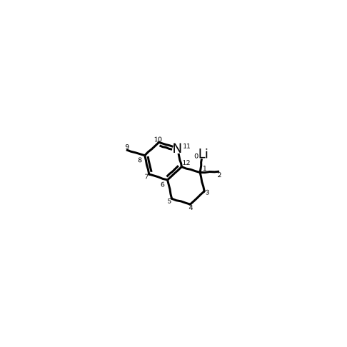 [Li][C]1(C)CCCc2cc(C)cnc21